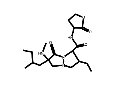 CCC(C)CC1(NC)CN2CC(CC)C(C(=O)NC3CCOC3=O)N2C1=O